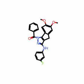 COc1cc2c(cc1OC)-c1c(c(Nc3cccc(F)c3)nn1C(=O)c1ccccc1)C2